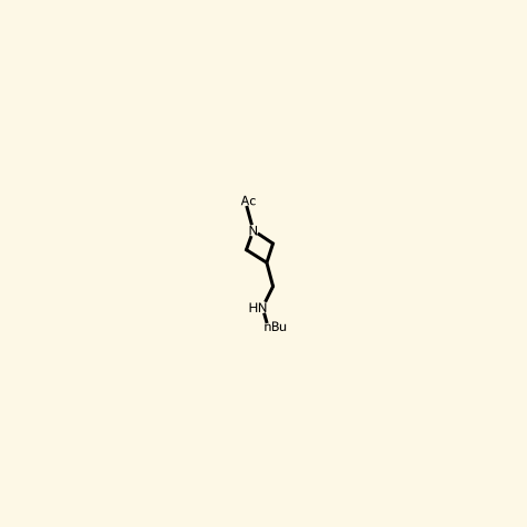 CCCCNCC1CN(C(C)=O)C1